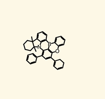 CC12CCCCC1(C)N1c3c(cccc32)B2c3ccccc3Oc3c(C4=CC=CCC4)cc(-c4ccccc4)c1c32